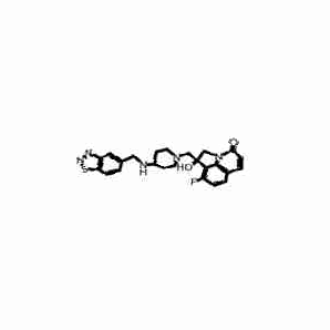 O=c1ccc2ccc(F)c3c2n1CC3(O)CN1CCC(NCc2ccc3snnc3c2)CC1